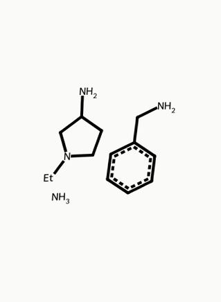 CCN1CCC(N)C1.N.NCc1ccccc1